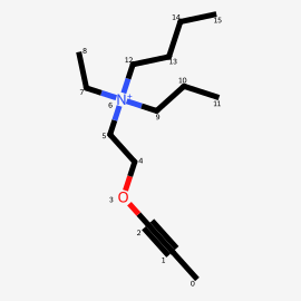 CC#COCC[N+](CC)(CCC)CCCC